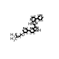 CN(C)CCOc1cncc(-c2ccc3[nH]nc(-c4nc5c(-c6cccnc6)ccnc5[nH]4)c3n2)c1